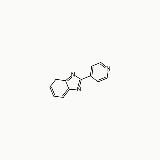 C1=CCC2=NC(c3ccncc3)=NC2=C1